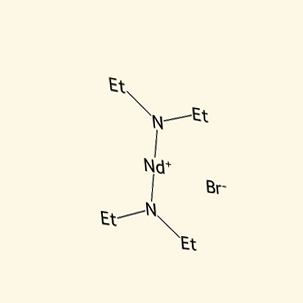 CC[N](CC)[Nd+][N](CC)CC.[Br-]